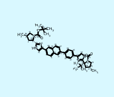 C[C@@H]1C[C@@H](c2nc(-c3ccc4cc(-c5ccc(-c6c[nH]c([C@@]7(C(C)(C)C)C[C@@H](C)CN7C(=O)O)n6)cc5)ccc4c3)c[nH]2)N(C(=O)OC(C)(C)C)C1